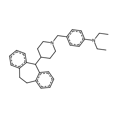 CCN(CC)c1ccc(CN2CCC(C3c4ccccc4CCc4ccccc43)CC2)cc1